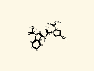 C[C@H]1C[C@@H](C(=O)O)N(C(=O)Nc2cn(C(N)=O)c3ccccc23)C1